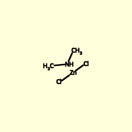 CNC.[Cl][Zn][Cl]